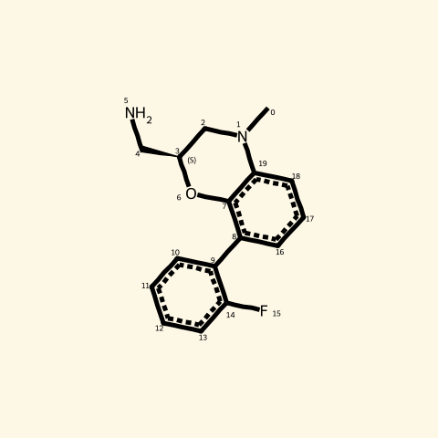 CN1C[C@H](CN)Oc2c(-c3ccccc3F)cccc21